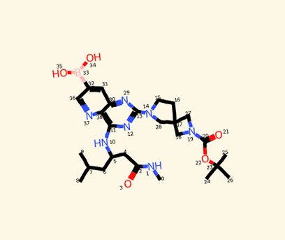 CNC(=O)CC(CC(C)C)Nc1nc(N2CCC3(CN(C(=O)OC(C)(C)C)C3)C2)nc2cc(B(O)O)cnc12